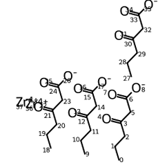 CCCC(=O)CC(=O)[O-].CCCC(=O)CC(=O)[O-].CCCC(=O)CC(=O)[O-].CCCC(=O)CC(=O)[O-].[Zr+4].[Zr+4]